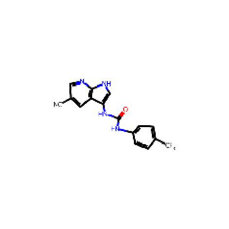 N#Cc1cnc2[nH]cc(NC(=O)Nc3ccc(C(F)(F)F)cc3)c2c1